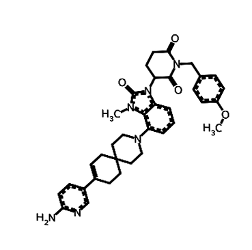 COc1ccc(CN2C(=O)CCC(n3c(=O)n(C)c4c(N5CCC6(CC=C(c7ccc(N)nc7)CC6)CC5)cccc43)C2=O)cc1